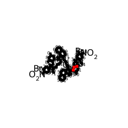 Cc1ccc(CC2(C)/C(=C\C=C\C3=[N+](COC[N+]4=C(/C=C/C=C5/N(C)c6cc([N+](=O)[O-])c(Br)cc6C5(C)Cc5ccc(C)cc5C)C(C)(C)c5c4ccc4ccccc54)c4ccc5ccccc5c4C3(C)C)N(C)c3cc([N+](=O)[O-])c(Br)cc32)c(C)c1